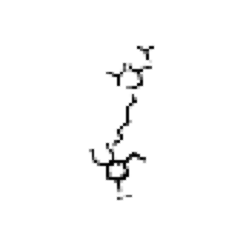 CCc1cc(O)cc(CC)c1OCCCCCOCC(OC(C)C)OC(C)C